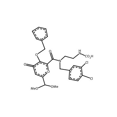 COC(OC)c1cc(=O)c(OCc2ccccc2)c(C(=O)N(CCNC(=O)O)Cc2ccc(Cl)c(Cl)c2)o1